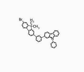 CC1(C)c2cc(Br)ccc2-c2ccc(-c3cccc(-c4ccc5c6ccccc6n(-c6ccccc6)c5c4)c3)cc21